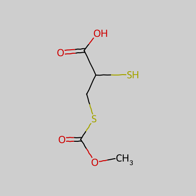 COC(=O)SCC(S)C(=O)O